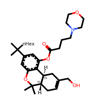 CCCCCCC(C)(C)c1cc(OC(=O)CCCN2CCOCC2)c2c(c1)OC(C)(C)[C@H]1CC=C(CO)C[C@H]21